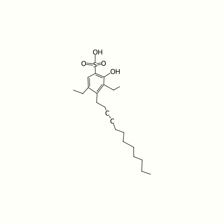 CCCCCCCCCCCCc1c(CC)cc(S(=O)(=O)O)c(O)c1CC